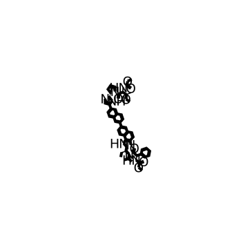 CC[C@@H](c1nc2ccc3cc(-c4ccc5cc(-c6cnc([C@@H]7CCCN7C(=O)[C@@H](NC(=O)OC)[C@@H](C)OC)[nH]6)ccc5c4)ccc3c2[nH]1)N(C(=O)[C@H](NC(=O)OC)c1ccccc1)C(C)C